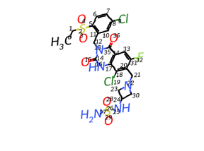 CCS(=O)(=O)c1ccc(Cl)cc1Cn1c(=O)[nH]c2c(Cl)c(CN3CC(NS(N)(=O)=O)C3)c(F)cc2c1=O